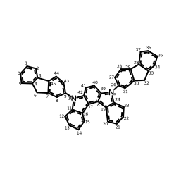 c1ccc2c(c1)Cc1cc(-n3c4ccccc4c4c5c6ccccc6n(-c6ccc7c(c6)Cc6ccccc6-7)c5ccc43)ccc1-2